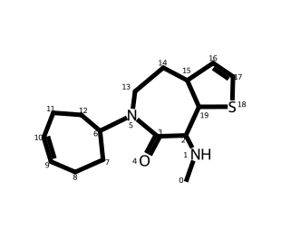 CNC1C(=O)N(C2CCC=CCC2)CCC2C=CSC21